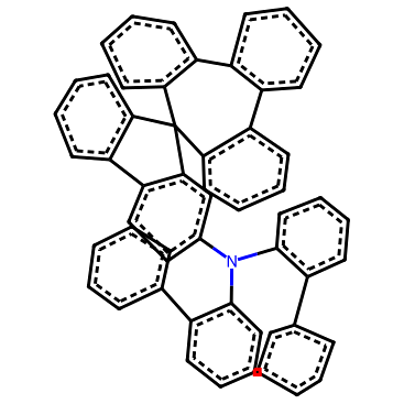 c1ccc(-c2ccccc2N(c2ccc3c(c2)C2(c4ccccc4-c4ccccc4-c4ccccc42)c2ccccc2-3)c2ccccc2-c2ccccc2)cc1